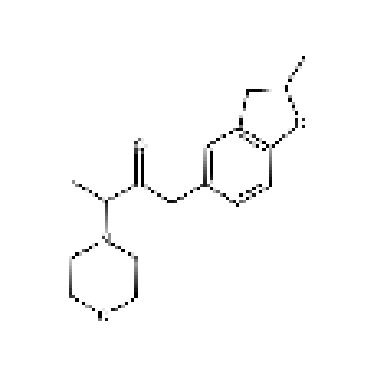 CC1Cc2cc(CC(=O)C(C)N3CCOCC3)ccc2O1